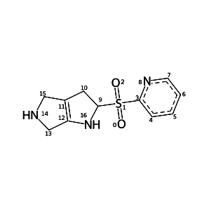 O=S(=O)(c1ccccn1)C1CC2=C(CNC2)N1